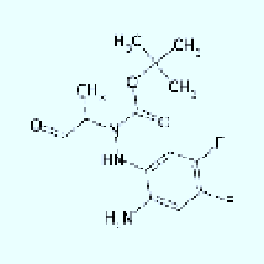 C[C@@H](C=O)N(Nc1cc(F)c(F)cc1N)C(=O)OC(C)(C)C